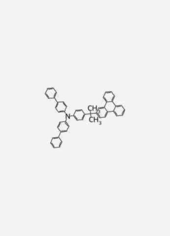 CC(C)(c1ccc(N(c2ccc(-c3ccccc3)cc2)c2ccc(-c3ccccc3)cc2)cc1)c1ccc2c3ccccc3c3ccccc3c2c1